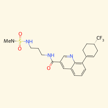 CNS(=O)(=O)NCCCNC(=O)c1cnc2c(C3=CC[C@@H](C(F)(F)F)CC3)cccc2c1